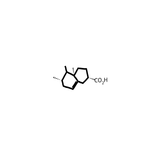 CC1[C@@H](C)CC=C2C[C@@H](C(=O)O)CC[C@@]21C